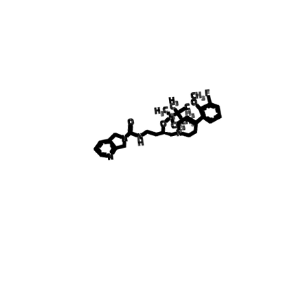 COc1c(F)cccc1C1=CCN(C[C@@H](CCNC(=O)N2Cc3cccnc3C2)O[Si](C)(C)C(C)(C)C)CC1